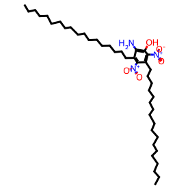 CCCCCCCCCCCCCCCCCCc1c(N)c(O)c([N+](=O)[O-])c(CCCCCCCCCCCCCCCCCC)c1[N+](=O)[O-]